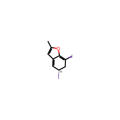 Cc1cc2c(o1)=C(I)C[C@H](I)C=2